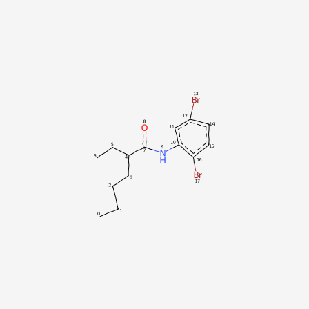 CCCCC(CC)C(=O)Nc1cc(Br)ccc1Br